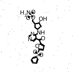 NS(=O)(=O)OCC1C[C@@H](Nc2ncncc2C(=O)c2ccc(S(=O)(=O)c3ccccc3)o2)C[C@@H]1O